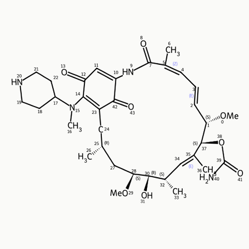 CO[C@H]1/C=C/C=C(/C)C(=O)NC2=CC(=O)C(N(C)C3CCNCC3)=C(C[C@@H](C)C[C@H](OC)[C@H](O)[C@@H](C)/C=C(\C)[C@@H]1OC(N)=O)C2=O